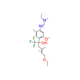 CCOC/C=C(\C)CC(O)(c1cc(C)c(/N=C/N(C)CC)cc1OC)C(F)(F)F